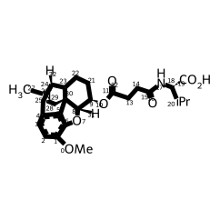 COc1ccc2c3c1O[C@H]1[C@@H](OC(=O)CCC(=O)N[C@H](C(=O)O)C(C)C)CCC4[C@@H](C2)N(C)CC[C@@]341